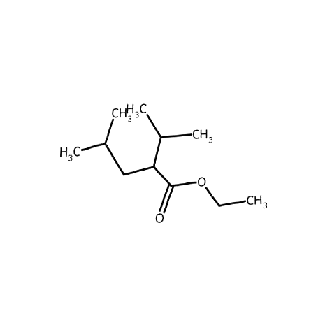 CCOC(=O)C(CC(C)C)C(C)C